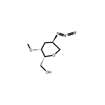 CO[C@@H]1C[C@@H](N=[N+]=[N-])CO[C@@H]1CO